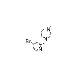 CN1CCCN(Cc2cc(Br)ccn2)CC1